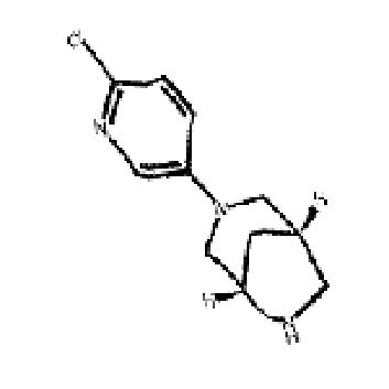 Clc1ccc(N2C[C@@H]3CN[C@@H](C3)C2)cn1